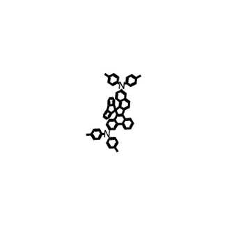 Cc1ccc(N(c2ccc(C)cc2)c2ccc3c4c(ccc3c2)-c2c(c3ccc(N(c5ccc(C)cc5)c5ccc(C)cc5)cc3c3ccccc23)C42c3ccccc3-c3ccccc32)cc1